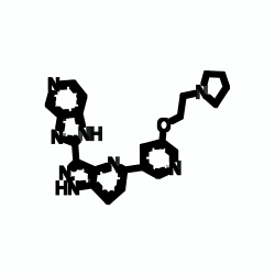 c1cc2[nH]c(-c3n[nH]c4ccc(-c5cncc(OCCN6CCCC6)c5)nc34)nc2cn1